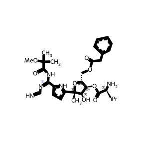 COC(C)(C)C(=O)N/C(=N/C=N)c1ccc([C@]2(C)O[C@H](COC(=O)Cc3ccccc3)[C@@H](OC(=O)[C@@H](N)C(C)C)[C@H]2O)[nH]1